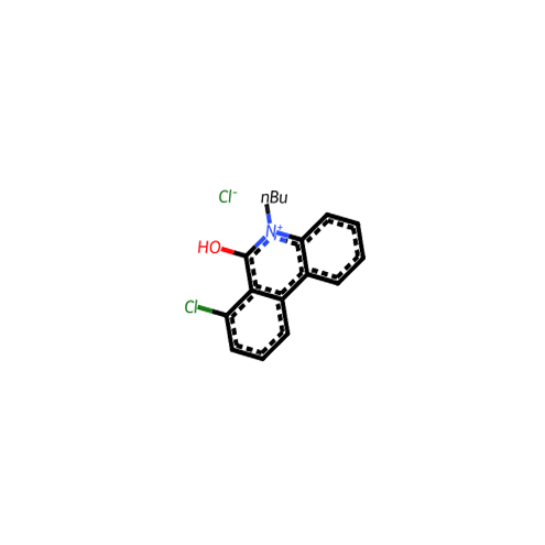 CCCC[n+]1c(O)c2c(Cl)cccc2c2ccccc21.[Cl-]